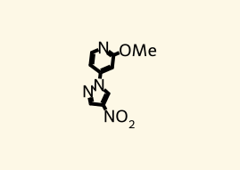 COc1cc(-n2cc([N+](=O)[O-])cn2)ccn1